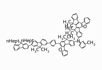 CCCCCCCC1(CCCCCCC)c2ccccc2-c2ccc(-c3ccc4c(c3)C(C)(C)c3cc(-c5ccc(-c6cc7c(c8c6oc6ccccc68)-c6ccc(N(c8cccc(C)c8)c8ccc9c(c8)C(C)(C)c8c%10c(c%11c(oc%12ccccc%12%11)c8-9)-c8ccccc8C%10(C)C)cc6C7(C)C)cc5)ccc3-4)cc21